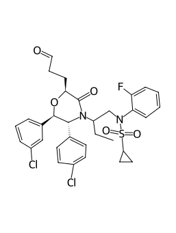 CCC(CN(c1ccccc1F)S(=O)(=O)C1CC1)N1C(=O)[C@H](CCC=O)O[C@H](c2cccc(Cl)c2)[C@H]1c1ccc(Cl)cc1